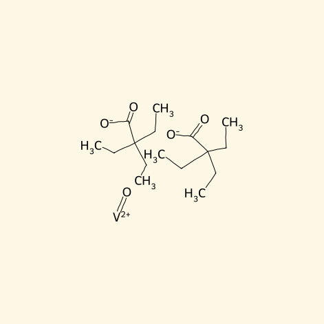 CCC(CC)(CC)C(=O)[O-].CCC(CC)(CC)C(=O)[O-].[O]=[V+2]